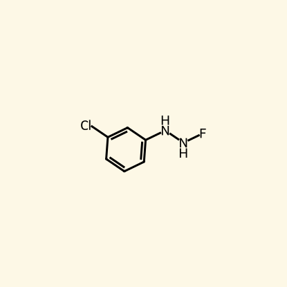 FNNc1cccc(Cl)c1